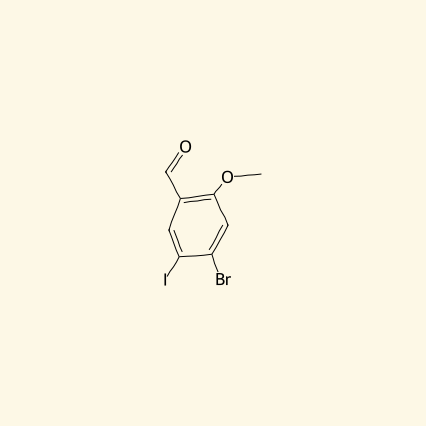 COc1cc(Br)c(I)cc1C=O